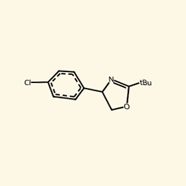 CC(C)(C)C1=NC(c2ccc(Cl)cc2)CO1